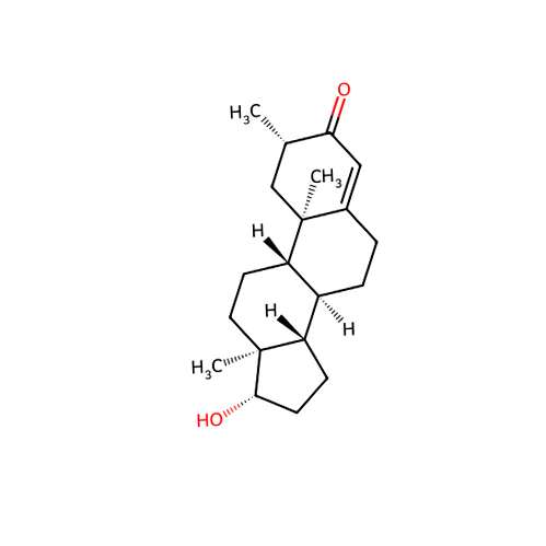 C[C@H]1C[C@@]2(C)C(=CC1=O)CC[C@H]1[C@@H]3CC[C@H](O)[C@@]3(C)CC[C@@H]12